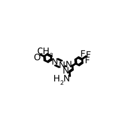 CC(=O)c1ccc(N2CCN(c3nc(CN)cc(-c4ccc(C(F)(F)F)cc4)n3)CC2)cc1